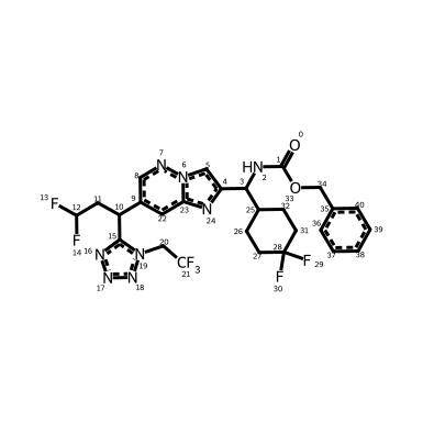 O=C(NC(c1cn2ncc(C(CC(F)F)c3nnnn3CC(F)(F)F)cc2n1)C1CCC(F)(F)CC1)OCc1ccccc1